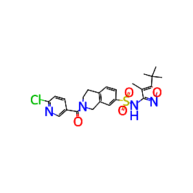 Cc1c(NS(=O)(=O)c2ccc3c(c2)CN(C(=O)c2ccc(Cl)nc2)CC3)noc1C(C)(C)C